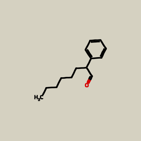 CCCCCCC(C=O)c1ccccc1